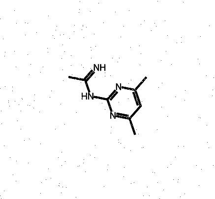 CC(=N)Nc1nc(C)cc(C)n1